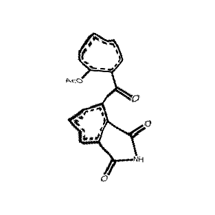 CC(=O)Oc1ccccc1C(=O)c1cccc2c1C(=O)NC2=O